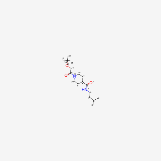 CC(C)CCNC(=O)C1CCN(C(=O)COC(C)(C)C)CC1